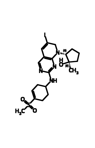 C[C@@]1(O)CCC[C@H]1N1CC(I)=Cc2cnc(NC3CC=C(S(C)(=O)=O)CC3)nc21